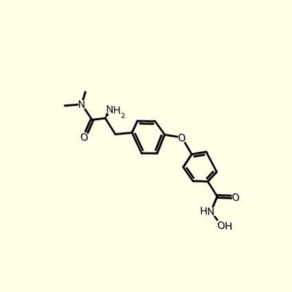 CN(C)C(=O)[C@@H](N)Cc1ccc(Oc2ccc(C(=O)NO)cc2)cc1